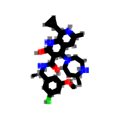 COc1cc(Cl)cc([C@H](C)NC(=O)c2c(N3CCN[C@@H](C)CC3)c3cc(C)nc(C4CC4)c3[nH]c2=O)c1